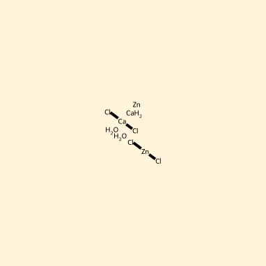 O.O.[CaH2].[Cl][Ca][Cl].[Cl][Zn][Cl].[Zn]